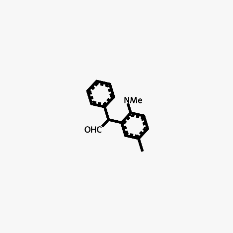 CNc1ccc(C)cc1C(C=O)c1ccccc1